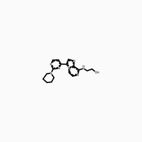 OCCNc1nccn2c(-c3ccnc(N4CCCCC4)n3)cnc12